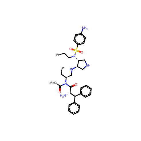 COC(=O)N(C(=O)[C@@H](N)C(c1ccccc1)c1ccccc1)[C@H](CN[C@@H]1CNC[C@H]1N(CCC(C)C)S(=O)(=O)c1ccc(N)cc1)CC(C)C